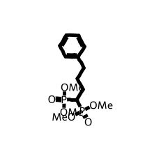 COP(=O)(OC)C(CCCc1ccccc1)P(=O)(OC)OC